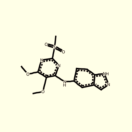 COc1nc(S(C)(=O)=O)nc(Nc2ccc3[nH]ncc3c2)c1OC